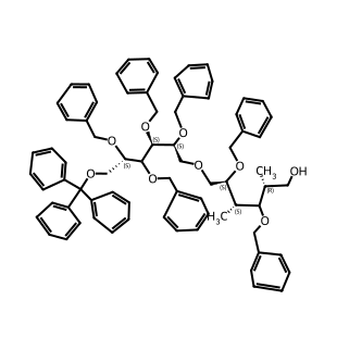 C[C@H](CO)C(OCc1ccccc1)[C@H](C)[C@@H](COC[C@H](OCc1ccccc1)[C@H](OCc1ccccc1)C(OCc1ccccc1)[C@H](COC(c1ccccc1)(c1ccccc1)c1ccccc1)OCc1ccccc1)OCc1ccccc1